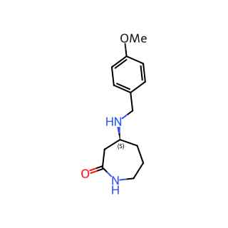 COc1ccc(CN[C@H]2CCCNC(=O)C2)cc1